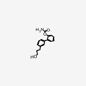 NC(=O)Oc1ccccc1-c1cccc(CCCO)c1